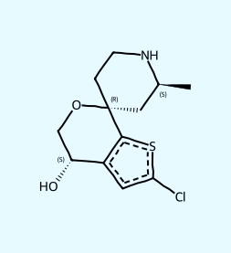 C[C@H]1C[C@@]2(CCN1)OC[C@@H](O)c1cc(Cl)sc12